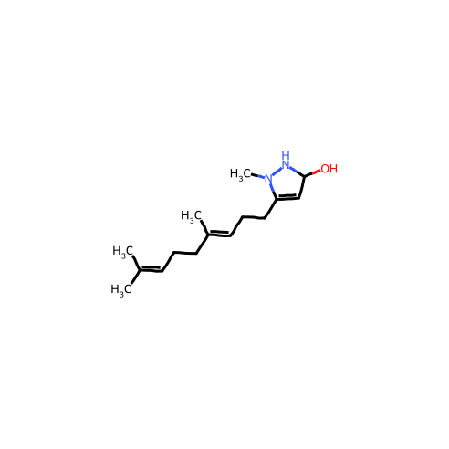 CC(C)=CCC/C(C)=C/CCC1=CC(O)NN1C